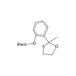 [CH2]C1(c2ccccc2OC(C)CCC)OCCS1